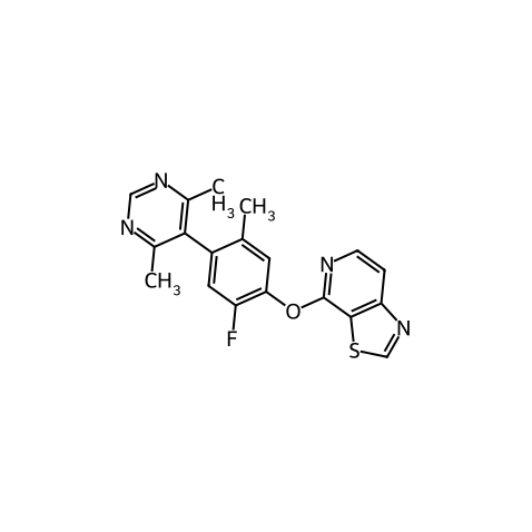 Cc1cc(Oc2nccc3ncsc23)c(F)cc1-c1c(C)ncnc1C